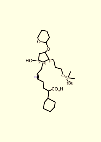 CC(C)(C)[Si](C)(C)OCCC[C@H]1C(OC2CCCCO2)C[C@H](O)[C@@H]1C/C=C\CCC(C(=O)O)C1CCCCC1